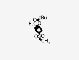 C=CS(=O)(=O)C1CC2CC1CC2(OC(=O)C(C)(C)C)C(F)(F)F